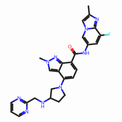 Cc1cn2cc(NC(=O)c3ccc(N4CCC(NCc5ncccn5)C4)c4cn(C)nc34)cc(F)c2n1